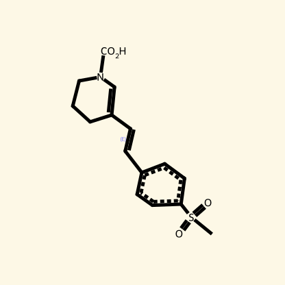 CS(=O)(=O)c1ccc(/C=C/C2=CN(C(=O)O)CCC2)cc1